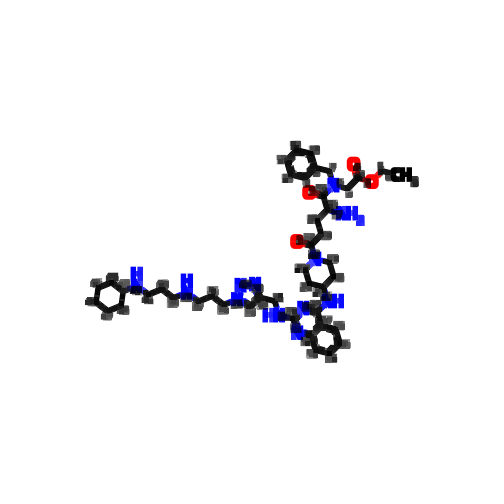 CCOC(=O)CN(Cc1ccccc1)C(=O)[C@@H](N)CCC(=O)N1CCC(Nc2nc(NCc3cn(CCCNCCCNC4CCCCC4)nn3)nc3ccccc23)CC1